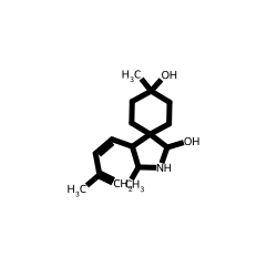 C=C(C)/C=C\C1C(C)NC(O)C12CCC(C)(O)CC2